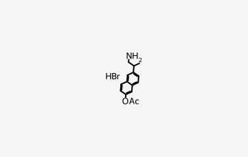 Br.CC(=O)Oc1ccc2cc(C(C)CN)ccc2c1